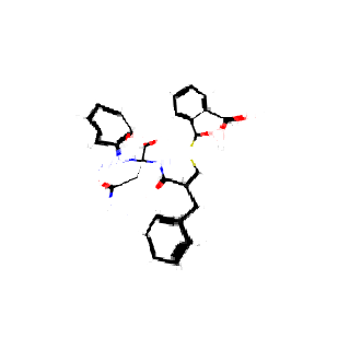 NC(=O)C[C@@](NC(=O)C(CSC1OC(=O)c2ccccc21)Cc1ccccc1)(Nc1ccccc1)C(=O)O